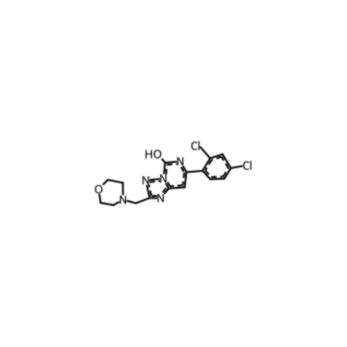 Oc1nc(-c2ccc(Cl)cc2Cl)cc2nc(CN3CCOCC3)nn12